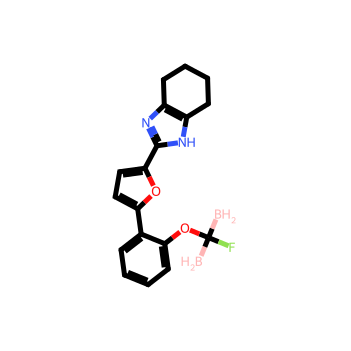 BC(B)(F)Oc1ccccc1-c1ccc(-c2nc3c([nH]2)CCCC3)o1